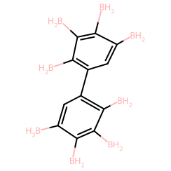 Bc1cc(-c2cc(B)c(B)c(B)c2B)c(B)c(B)c1B